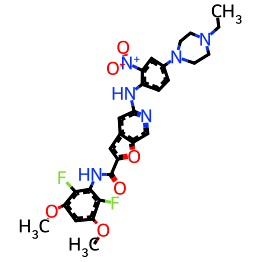 CCN1CCN(c2ccc(Nc3cc4cc(C(=O)Nc5c(F)c(OC)cc(OC)c5F)oc4cn3)c([N+](=O)[O-])c2)CC1